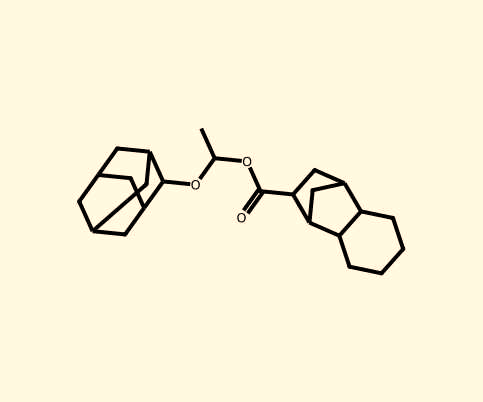 CC(OC(=O)C1CC2CC1C1CCCCC21)OC1C2CC3CC(C2)CC1C3